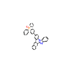 O=P(c1ccccc1)(c1ccccc1)c1ccc(-c2ccc3c(c2)c2cc4ccccc4cc2c2nc4ccccc4n32)cc1